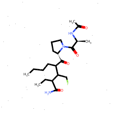 CCCCC(C(=O)[C@@H]1CCCN1C(=O)[C@H](C)NC(C)=O)C(CF)C(CC)C(N)=O